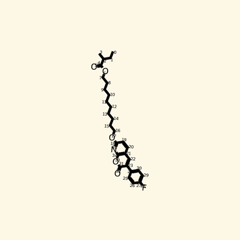 CCC(C)C(=O)OCCCCCCCCCCOc1ccc2cc(-c3ccc(F)cc3)c(=O)oc2n1